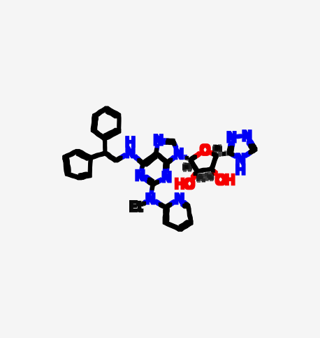 CCN(c1ccccn1)c1nc(NCC(c2ccccc2)c2ccccc2)c2ncn([C@@H]3O[C@H](c4nnc[nH]4)[C@@H](O)[C@H]3O)c2n1